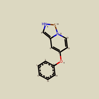 [c]1ccc(OC2=CC3=CNSN3C=C2)cc1